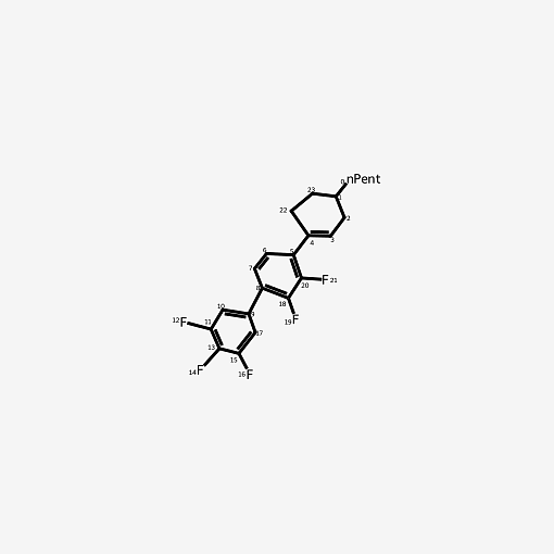 CCCCCC1CC=C(c2ccc(-c3cc(F)c(F)c(F)c3)c(F)c2F)CC1